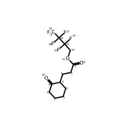 O=C(CCC1CCCCC1=O)OCC(F)(F)C(F)(F)C(F)(F)F